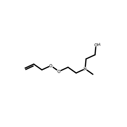 C=CCOOCCN(C)CCO